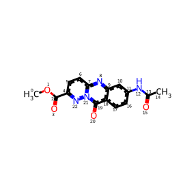 COC(=O)c1ccc2nc3cc(NC(C)=O)ccc3c(=O)n2n1